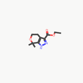 CCOC(=O)c1n[nH]c2c1CCOC2(C)C